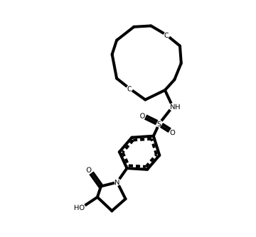 O=C1C(O)CCN1c1ccc(S(=O)(=O)NC2CCCCCCCCCCC2)cc1